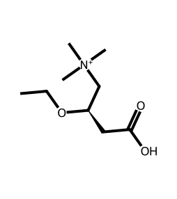 CCO[C@H](CC(=O)O)C[N+](C)(C)C